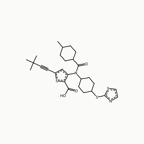 CC1CCC(C(=O)N(c2cc(C#CC(C)(C)C)sc2C(=O)O)C2CCC(Sc3nccs3)CC2)CC1